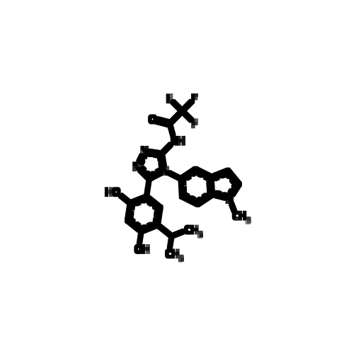 CC(C)c1cc(-c2nnc(NC(=O)C(F)(F)F)n2-c2ccc3c(ccn3C)c2)c(O)cc1O